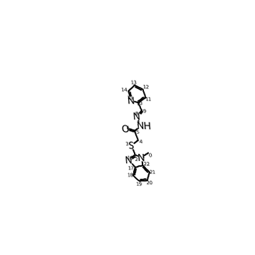 Cn1c(SCC(=O)N/N=C/c2ccccn2)nc2ccccc21